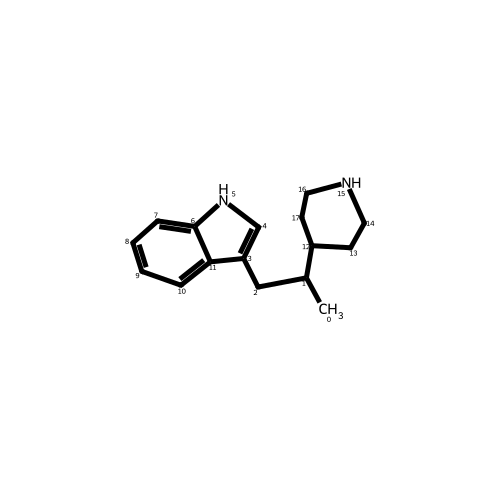 CC(Cc1c[nH]c2ccccc12)C1CCNCC1